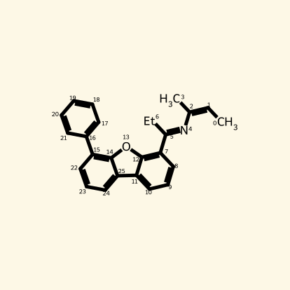 C/C=C(C)\N=C(/CC)c1cccc2c1oc1c(-c3ccccc3)cccc12